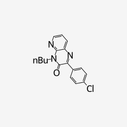 CCCCn1c(=O)c(-c2ccc(Cl)cc2)nc2cccnc21